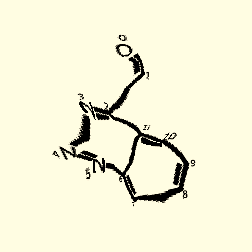 O=Cc1nnnc2ccccc12